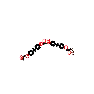 CC(C)(c1ccc(OCC(O)COc2ccc(C(C)(C)c3ccc(OCC4CSC(=S)O4)cc3)cc2)cc1)c1ccc(OCC2CO2)cc1